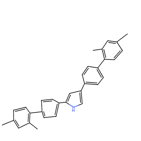 Cc1ccc(-c2ccc(-c3c[nH]c(-c4ccc(-c5ccc(C)cc5C)cc4)c3)cc2)c(C)c1